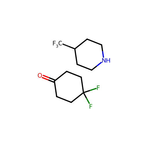 FC(F)(F)C1CCNCC1.O=C1CCC(F)(F)CC1